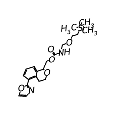 C[Si](C)(C)CCOCNC(=O)OCC1OCCc2c(-c3ncco3)cccc21